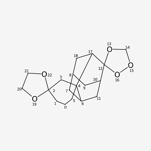 C1CC2(CC3(C1)C1CC4CC(C1)C1(OCOO1)C3C4)OCCO2